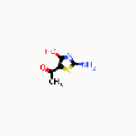 CC(=O)c1sc(N)nc1O